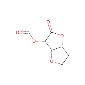 O=COC1C(=O)OC2CCOC21